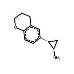 N[C@@H]1C[C@H]1c1ccc2c(c1)CCCO2